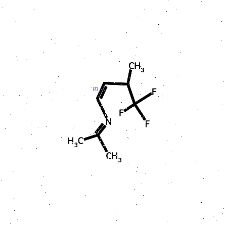 CC(C)=N/C=C\C(C)C(F)(F)F